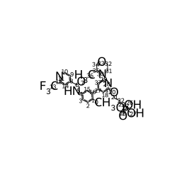 Cc1ccc(NC(=O)c2ccnc(C(F)(F)F)c2)cc1-c1cc(OCCOP(=O)(O)O)nc(N2CCOCC2C)c1